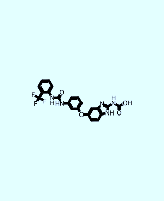 O=C(O)Nc1nc2cc(Oc3cccc(NC(=O)Nc4ccccc4C(F)(F)F)c3)ccc2[nH]1